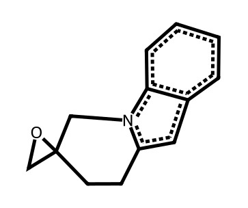 c1ccc2c(c1)cc1n2CC2(CC1)CO2